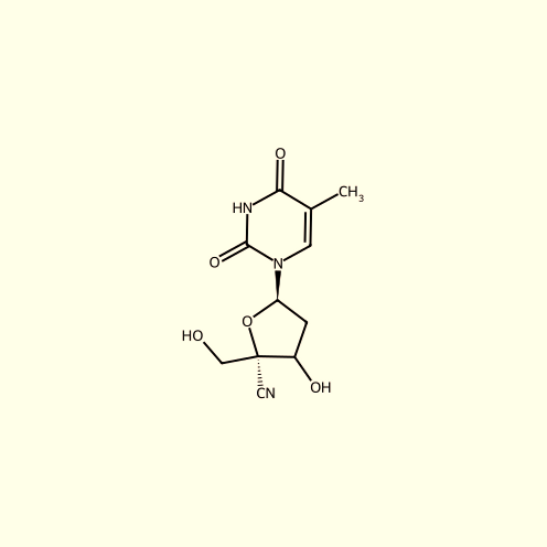 Cc1cn([C@H]2CC(O)[C@@](C#N)(CO)O2)c(=O)[nH]c1=O